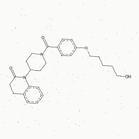 O=C(c1ccc(OCCCCCO)cc1)N1CCC(N2C(=O)CCc3ccccc32)CC1